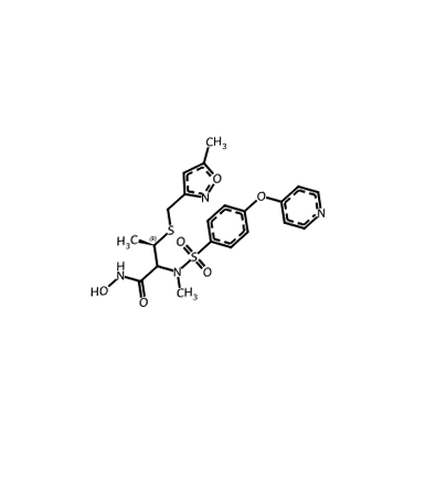 Cc1cc(CS[C@H](C)C(C(=O)NO)N(C)S(=O)(=O)c2ccc(Oc3ccncc3)cc2)no1